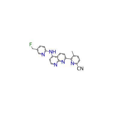 Cc1ccc(C#N)nc1-c1ccc2c(Nc3ccc(CF)cn3)ccnc2n1